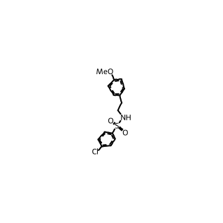 [CH2]Oc1ccc(CCNS(=O)(=O)c2ccc(Cl)cc2)cc1